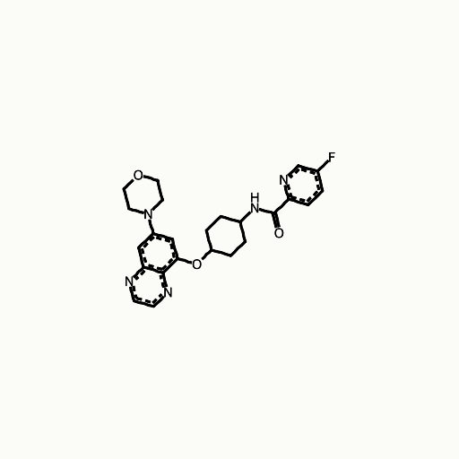 O=C(NC1CCC(Oc2cc(N3CCOCC3)cc3nccnc23)CC1)c1ccc(F)cn1